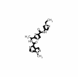 CCn1cc(NC(=O)c2cnc(C(C)NC(=O)c3ncnc4c3cnn4C)s2)cn1